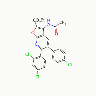 CCOC(=O)c1oc2nc(-c3ccc(Cl)cc3Cl)c(-c3ccc(Cl)cc3)cc2c1NC(=O)C(F)(F)F